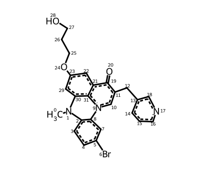 CN1c2ccc(Br)cc2-n2cc(Cc3cccnc3)c(=O)c3cc(OCCCO)cc1c32